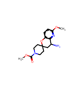 COC(=O)N1CCC2(CC1)CC(N)c1nc(OC)ccc1O2